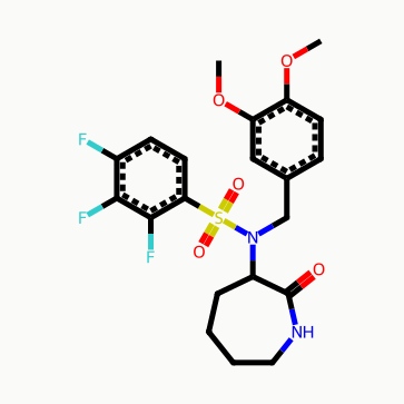 COc1ccc(CN(C2CCCCNC2=O)S(=O)(=O)c2ccc(F)c(F)c2F)cc1OC